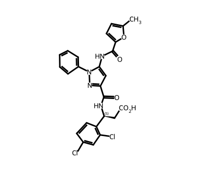 Cc1ccc(C(=O)Nc2cc(C(=O)N[C@@H](CC(=O)O)c3ccc(Cl)cc3Cl)nn2-c2ccccc2)o1